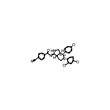 N#Cc1ccc(C(=O)/N=C2\NC[C@H]3[C@@H](c4ccc(Cl)cc4)[C@H](c4ccc(Cl)cc4Cl)CC[C@@H]23)cc1